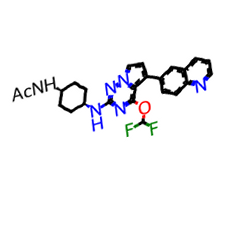 CC(=O)N[C@H]1CC[C@@H](Nc2nc(OC(F)F)c3c(-c4ccc5ncccc5c4)ccn3n2)CC1